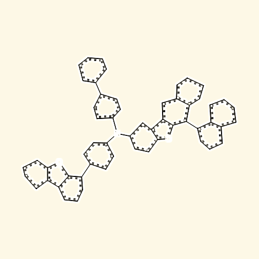 c1ccc(-c2ccc(N(c3ccc(-c4cccc5c4oc4ccccc45)cc3)c3ccc4oc5c(-c6cccc7ccccc67)c6ccccc6cc5c4c3)cc2)cc1